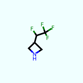 FC([C]1CNC1)C(F)(F)F